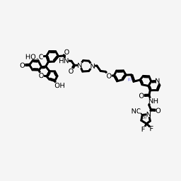 N#C[C@@H]1CC(F)(F)CN1C(=O)CNC(=O)c1ccnc2ccc(/C=C/c3ccc(OCCCN4CCN(C(=O)CNC(=O)c5ccc(C(=O)O)c(-c6c7ccc(=O)cc-7oc7cc(O)ccc67)c5)CC4)cc3)cc12